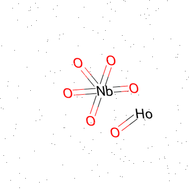 [O]=[Ho].[O]=[Nb](=[O])(=[O])(=[O])=[O]